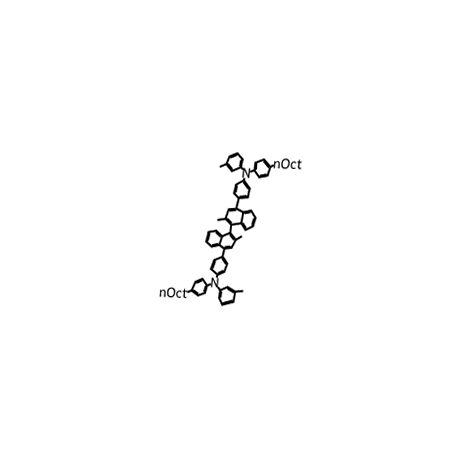 CCCCCCCCc1ccc(N(c2ccc(-c3cc(C)c(-c4c(C)cc(-c5ccc(N(c6ccc(CCCCCCCC)cc6)c6cccc(C)c6)cc5)c5ccccc45)c4ccccc34)cc2)c2cccc(C)c2)cc1